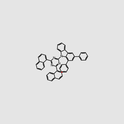 c1ccc(-c2cc(-c3ccccc3)c3c(c2)c2ccccc2n3-c2nc(-c3cccc4ccccc34)nc(-c3cccc4ccccc34)n2)cc1